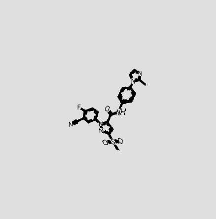 [CH2]c1nccn1-c1ccc(NC(=O)c2cc(S(C)(=O)=O)nn2-c2ccc(F)c(C#N)c2)cc1